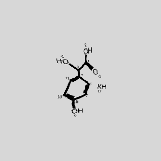 O=C(O)C(O)c1ccc(O)cc1.[KH]